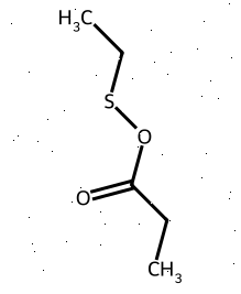 CCSOC(=O)CC